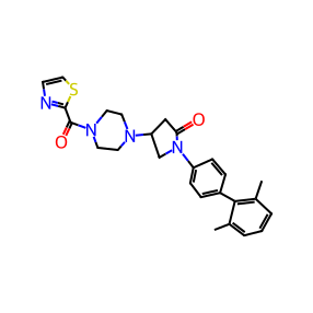 Cc1cccc(C)c1-c1ccc(N2CC(N3CCN(C(=O)c4nccs4)CC3)CC2=O)cc1